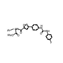 COC(=O)[C@H](CC(C)C)NC(=O)c1cc(-c2ccc(NC(=O)Nc3ccc(F)cc3)cc2)no1